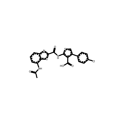 CC(=O)Nc1cccc2nc(C(=O)Nc3scc(-c4ccc(Cl)cc4)c3C(=O)O)sc12